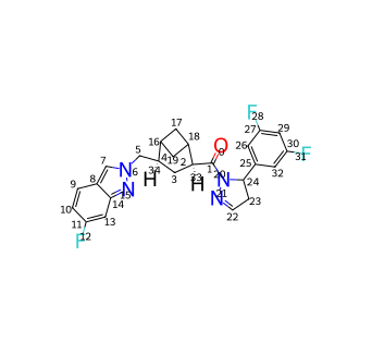 O=C([C@H]1C[C@@H](Cn2cc3ccc(F)cc3n2)C2CC1C2)N1N=CCC1c1cc(F)cc(F)c1